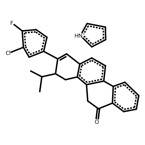 CC(C)C1Cc2c(ccc3c2CC(=O)c2ccccc2-3)C=C1c1ccc(F)c(Cl)c1.c1cc[nH]c1